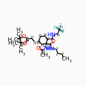 CCCCNC(=O)[C@@]1(NC(C)=O)C[C@H](CCB2OC(C)(C)C(C)(C)O2)CC[C@H]1CNCC(F)(F)F